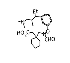 CC[C@H](c1cccc(ON(C=O)CC2(CC(=O)O)CCCCC2)c1)[C@@H](C)CN(C)C